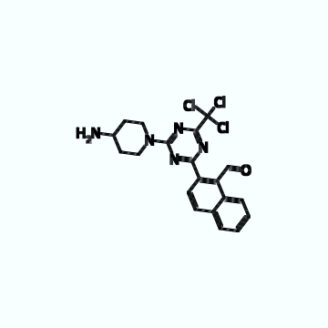 NC1CCN(c2nc(-c3ccc4ccccc4c3C=O)nc(C(Cl)(Cl)Cl)n2)CC1